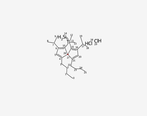 CCCCC1=CC(C(C)C)=[C]([Ti]([CH3])([CH3])(=[SiH2])[C]2=C(C(C)C)C=C(CCCC)C2)C1.Cl.Cl